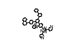 C1=CB2c3c(-c4ccc(-c5cccc6ccccc56)cc4)cc(-c4cccc(-c5ccccc5)c4)cc3-c3ccc(-c4nc(-c5cccnc5)nc(-c5cccnc5)n4)cc3N2C=C1